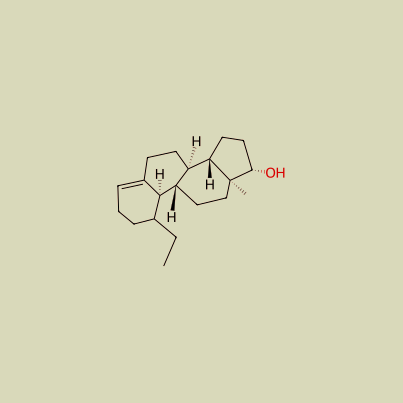 CCC1CCC=C2CC[C@@H]3[C@H](CC[C@]4(C)[C@@H](O)CC[C@@H]34)[C@H]21